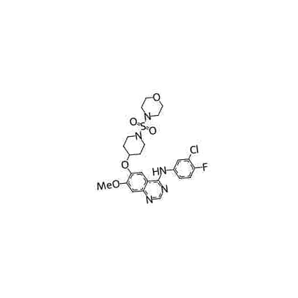 COc1cc2ncnc(Nc3ccc(F)c(Cl)c3)c2cc1OC1CCN(S(=O)(=O)N2CCOCC2)CC1